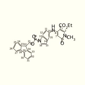 CCOC(=O)c1cn(C)c(=O)cc1Nc1ccc2c(ccn2C(=O)OCC2c3ccccc3-c3ccccc32)c1